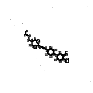 C/C=C/CC1COC(C#Cc2ccc(-c3ccc(Cl)c(F)c3)cc2)OC1